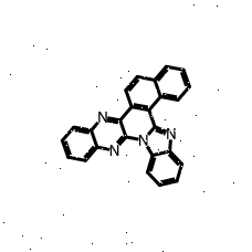 c1ccc2c(c1)ccc1c3nc4ccccc4nc3n3c4ccccc4nc3c21